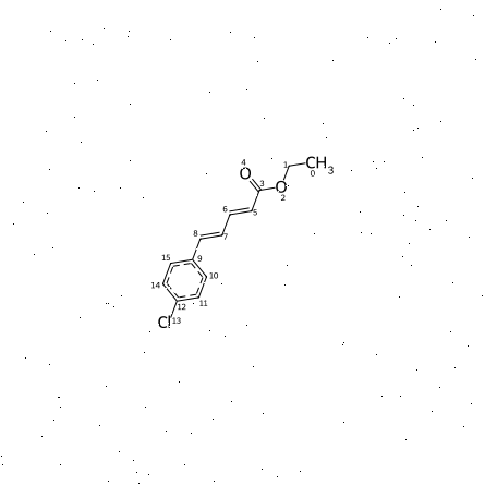 CCOC(=O)C=CC=Cc1ccc(Cl)cc1